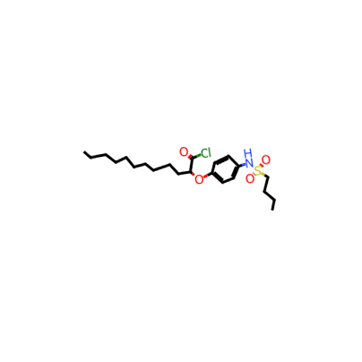 CCCCCCCCCCC(Oc1ccc(NS(=O)(=O)CCCC)cc1)C(=O)Cl